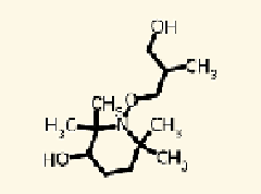 CC(CO)CON1C(C)(C)CCC(O)C1(C)C